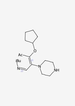 CCC(C)/N=C\C(=C(\OC1CCCC1)C(C)=O)N1CCNCC1